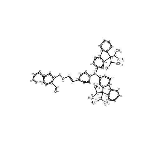 CC(C)C1(C(C)C)c2ccccc2-c2ccc(N(c3ccc(C=COCc4cc5ccccc5cc4C=O)cc3)c3ccc4c(c3)C(C(C)C)(C(C)C)c3ccccc3-4)cc21